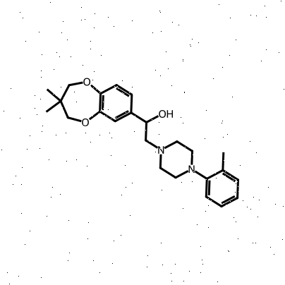 Cc1ccccc1N1CCN(CC(O)c2ccc3c(c2)OCC(C)(C)CO3)CC1